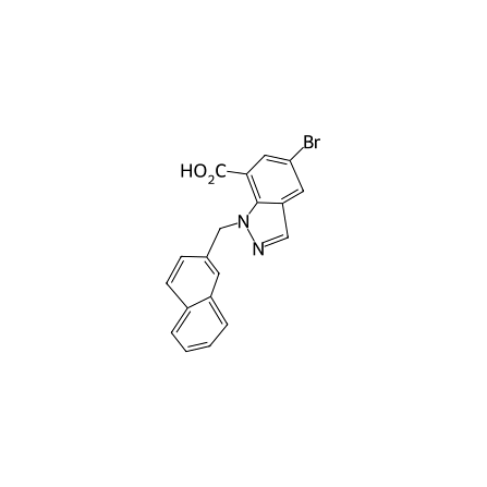 O=C(O)c1cc(Br)cc2cnn(Cc3ccc4ccccc4c3)c12